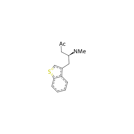 CN[C@H](CC(C)=O)Cc1csc2ccccc12